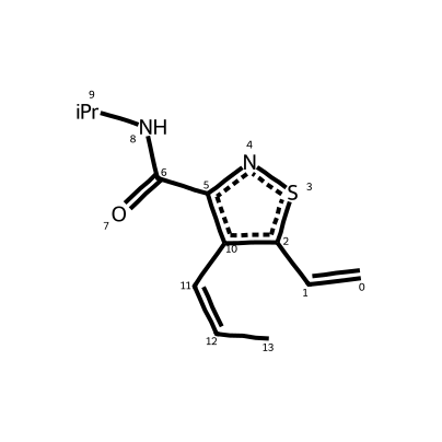 C=Cc1snc(C(=O)NC(C)C)c1/C=C\C